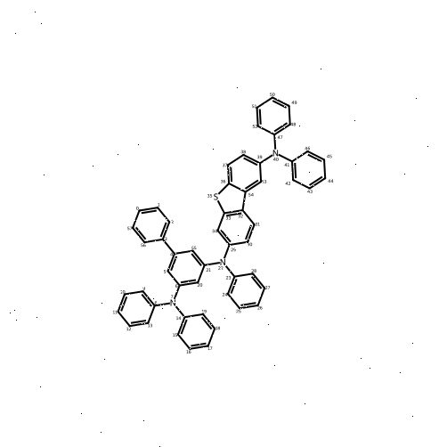 c1ccc(-c2cc(N(c3ccccc3)c3ccccc3)cc(N(c3ccccc3)c3ccc4c(c3)sc3ccc(N(c5ccccc5)c5ccccc5)cc34)c2)cc1